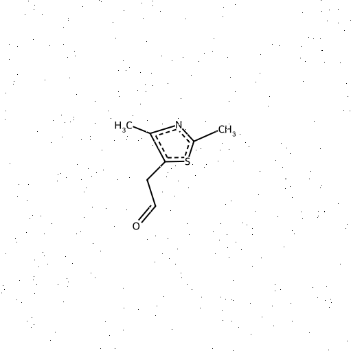 Cc1nc(C)c(CC=O)s1